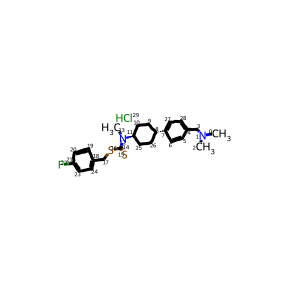 CN(C)Cc1ccc([C@H]2CC[C@H](N(C)C(=S)SCc3ccc(F)cc3)CC2)cc1.Cl